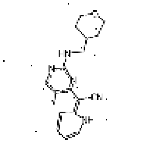 Cc1cnc(NCC2CCOCC2)nc1C(C#N)=C1C=CC=CN1